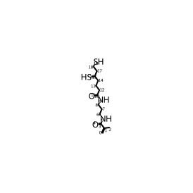 C=C(C)C(=O)NCCCNC(=O)CCCC(S)CCS